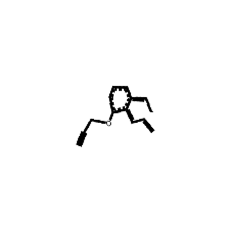 C#CCOc1cccc(=C/C)/c1=C\C=C